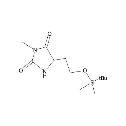 CN1C(=O)NC(CCO[Si](C)(C)C(C)(C)C)C1=O